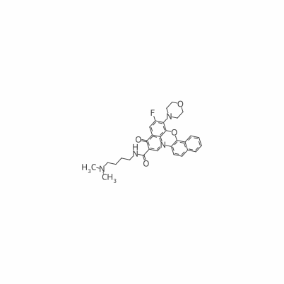 CN(C)CCCCNC(=O)c1cn2c3c(c(N4CCOCC4)c(F)cc3c1=O)Oc1c-2ccc2ccccc12